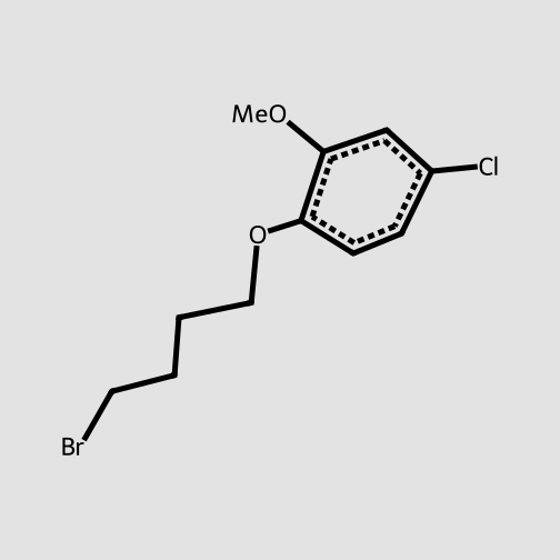 COc1cc(Cl)ccc1OCCCCBr